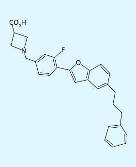 O=C(O)C1CN(Cc2ccc(-c3cc4cc(CCCc5ccccc5)ccc4o3)c(F)c2)C1